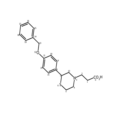 O=C(O)CCN1CCSC(c2ccc(OCc3ccccc3)cc2)C1